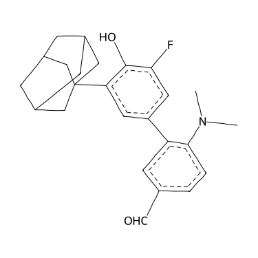 CN(C)c1ccc(C=O)cc1-c1cc(F)c(O)c(C23CC4CC(CC(C4)C2)C3)c1